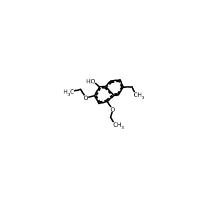 CCOc1cc(OCC)c2cc(CC)ccc2c1O